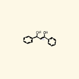 O/C(=C\C(O)c1ccccc1)c1ccccc1